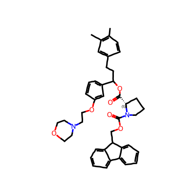 Cc1ccc(CCC(OC(=O)[C@@H]2CCCN2C(=O)OCC2c3ccccc3-c3ccccc32)c2cccc(OCCN3CCOCC3)c2)cc1C